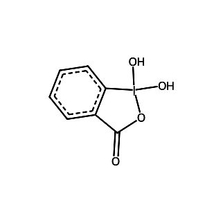 O=C1O[I](O)(O)c2ccccc21